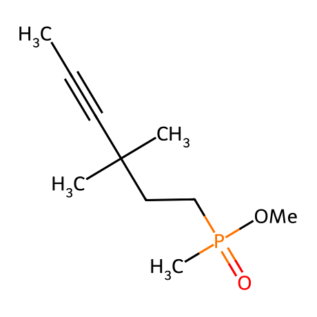 CC#CC(C)(C)CCP(C)(=O)OC